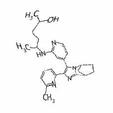 Cc1cccc(-c2nc3n(c2-c2ccnc(NC(C)CCC(C)O)c2)C2CCC3C2)n1